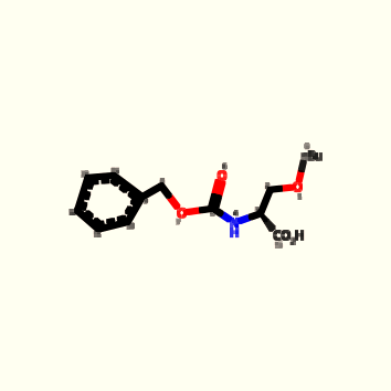 CCCCOC[C@H](NC(=O)OCc1ccccc1)C(=O)O